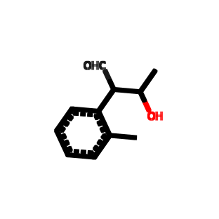 Cc1ccccc1C(C=O)C(C)O